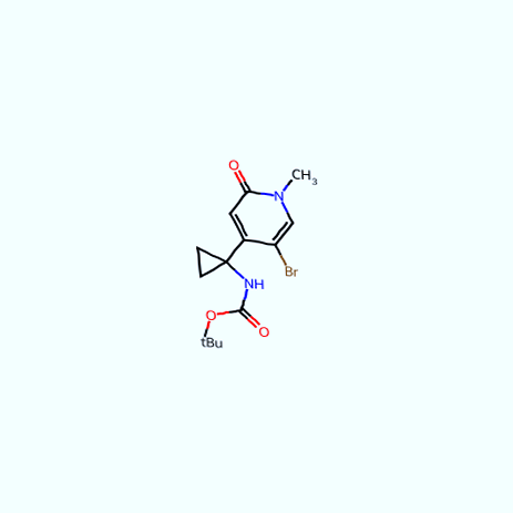 Cn1cc(Br)c(C2(NC(=O)OC(C)(C)C)CC2)cc1=O